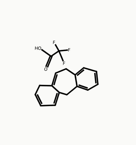 C1=CCC2=CCc3ccccc3CC2=C1.O=C(O)C(F)(F)F